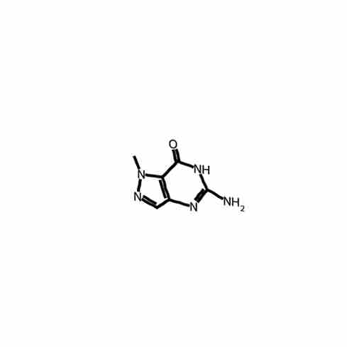 Cn1ncc2nc(N)[nH]c(=O)c21